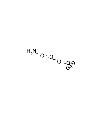 CS(=O)(=O)OCCOCCOCCOCCN